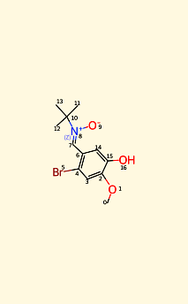 COc1cc(Br)c(/C=[N+](\[O-])C(C)(C)C)cc1O